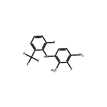 Cc1c(Nc2c(F)cccc2C(F)(F)F)ccc(N)c1F